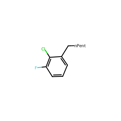 CCCCCCc1cccc(F)c1Cl